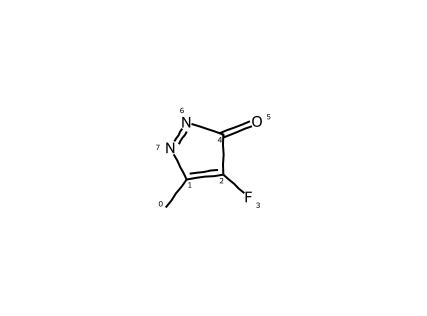 CC1=C(F)C(=O)N=N1